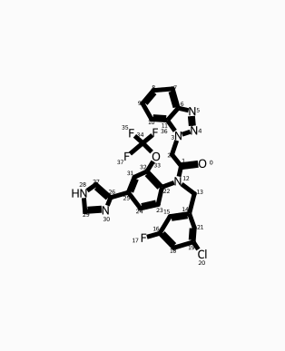 O=C(Cn1nnc2ccccc21)N(Cc1cc(F)cc(Cl)c1)c1ccc(-c2c[nH]cn2)cc1OC(F)(F)F